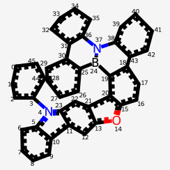 c1ccc(-n2c3ccccc3c3cc4oc5ccc6c(c5c4cc32)B2c3ccccc3-c3ccccc3N2c2ccccc2-6)cc1